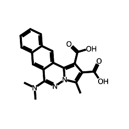 Cc1c(C(=O)O)c(C(=O)O)c2c3cc4ccccc4cc3c(N(C)C)nn12